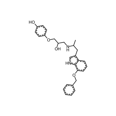 CC(Cc1c[nH]c2c(OCc3ccccc3)cccc12)NCC(O)COc1ccc(O)cc1